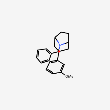 COc1cccc(C2CC3CCC(C2)N3Cc2ccccc2)c1